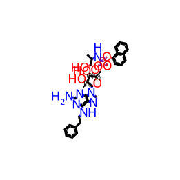 CC(NP(=O)(OC[C@H]1OC(n2cnc3c(NCCc4ccccc4)nc(N)nc32)[C@](C)(O)[C@@H]1O)Oc1cccc2ccccc12)C(=O)O